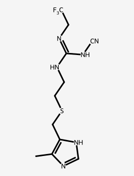 Cc1nc[nH]c1CSCCN/C(=N/CC(F)(F)F)NC#N